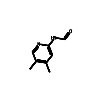 Cc1cnc(NC=O)cc1C